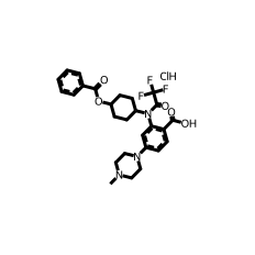 CN1CCN(c2ccc(C(=O)O)c(N(C(=O)C(F)(F)F)C3CCC(OC(=O)c4ccccc4)CC3)c2)CC1.Cl